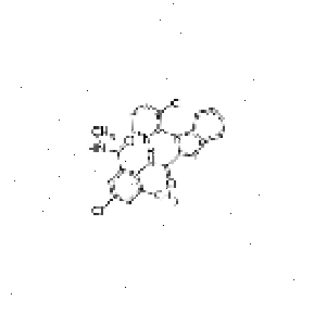 CNC(=O)c1cc(Cl)cc(C)c1NC(=O)c1cc2ccccc2n1-c1ncccc1Cl